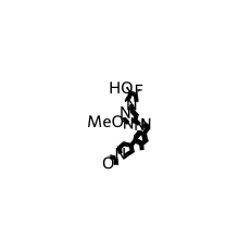 COc1nc(N2C[C@@H](O)[C@H](F)C2)cc(-n2ncc3cc(C)c(C4CCN(C5COC5)CC4)cc32)n1